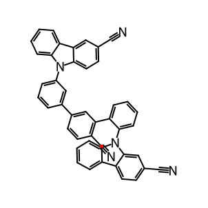 N#Cc1ccc2c(c1)c1ccccc1n2-c1cccc(-c2ccc(C#N)c(-c3ccccc3-n3c4ccccc4c4ccc(C#N)cc43)c2)c1